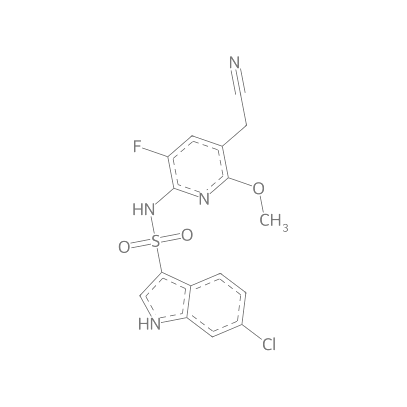 COc1nc(NS(=O)(=O)c2c[nH]c3cc(Cl)ccc23)c(F)cc1CC#N